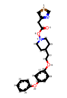 O=C(Cc1cscn1)ON1CCC(CCOc2ccc(Oc3ccccc3)cc2)CC1